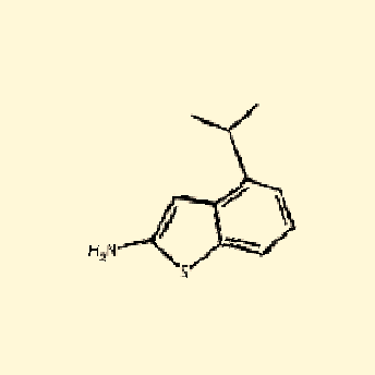 CC(C)c1cccc2sc(N)cc12